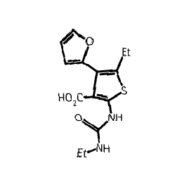 CCNC(=O)Nc1sc(CC)c(-c2ccco2)c1C(=O)O